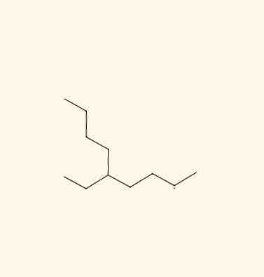 C[CH]CCC(CC)CCCC